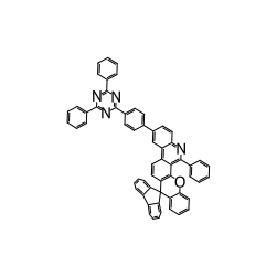 c1ccc(-c2nc(-c3ccccc3)nc(-c3ccc(-c4ccc5nc(-c6ccccc6)c6c7c(ccc6c5c4)C4(c5ccccc5O7)c5ccccc5-c5ccccc54)cc3)n2)cc1